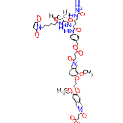 COC1=C\C2=C(CC/C=C\1OCCCOc1cc3c(cc1OC)CN(C(=O)CCC(=O)O)C3)CN(C(=O)CCC(=O)OCc1ccc(NC(=O)[C@H](CCCNC(N)=O)NC(=O)[C@@H](NC(=O)CCCCCN3C(=O)C=CC3=O)C(C)C)cc1)C2